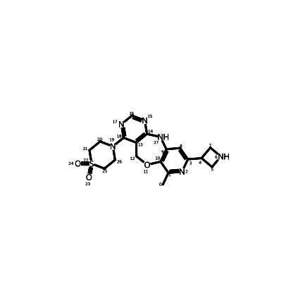 Cc1nc(C2CNC2)cc2c1OCc1c(ncnc1N1CCS(=O)(=O)CC1)N2